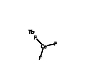 [F][Ce]([F])[F].[Tb]